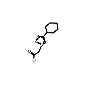 CC(=O)Cn1cc(C2CCCCC2)nn1